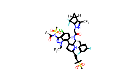 CC(=O)C(=O)N(c1nn(CC(F)(F)F)c2c(-c3ccc(C#CC(C)(C)S(C)(=O)=O)nc3[C@H](Cc3cc(F)cc(F)c3)NC(=O)Cn3nc(C(F)(F)F)c4c3C(F)(F)[C@@H]3C[C@H]43)ccc(Cl)c12)S(C)(=O)=O